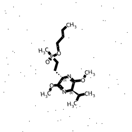 CCCCOP(C)(=O)CC[C@@H]1N=C(OC)[C@@H](C(C)C)N=C1OC